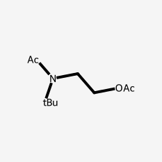 CC(=O)OCCN(C(C)=O)C(C)(C)C